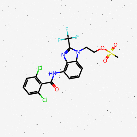 CS(=O)(=O)OCCn1c(C(F)(F)F)nc2c(NC(=O)c3c(Cl)cccc3Cl)cccc21